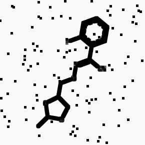 CC1OCC(CO/N=C(\C#N)c2ccccc2F)O1